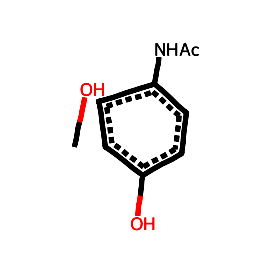 CC(=O)Nc1ccc(O)cc1.CO